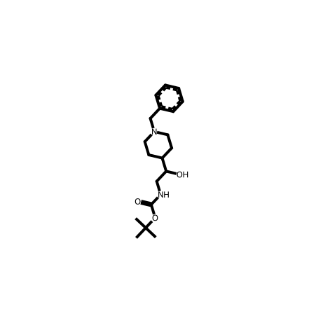 CC(C)(C)OC(=O)NCC(O)C1CCN(Cc2ccccc2)CC1